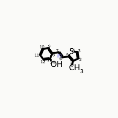 Cc1ccsc1/C=C/c1ccccc1O